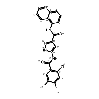 O=C(Nc1cccc2ncccc12)c1cc(NC(=O)c2cc(F)c(F)cc2Cl)[nH]n1